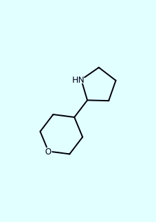 C1CNC(C2CCOCC2)C1